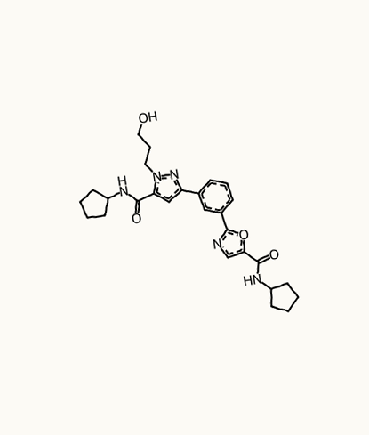 O=C(NC1CCCC1)c1cnc(-c2cccc(-c3cc(C(=O)NC4CCCC4)n(CCCO)n3)c2)o1